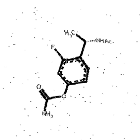 CC(=O)N[C@@H](C)c1ccc(OC(N)=O)cc1F